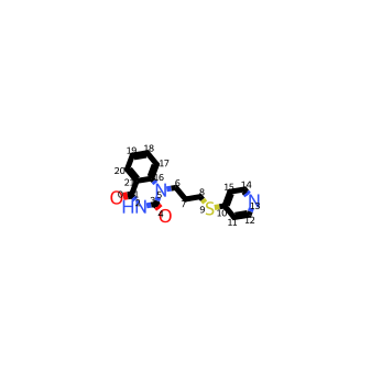 O=c1[nH]c(=O)n(CCCSc2ccncc2)c2ccccc12